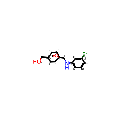 OCC12CCC(CNc3cccc(Br)c3)(CC1)OC2